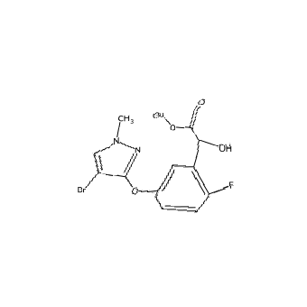 Cn1cc(Br)c(Oc2ccc(F)c(C(O)C(=O)OC(C)(C)C)c2)n1